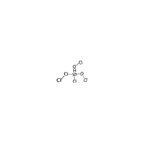 Cl[O][SbH]([Cl])([O]Cl)[O]Cl